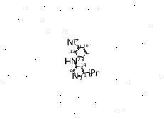 CC(C)c1cncc(Nc2cccc(C#N)c2)c1